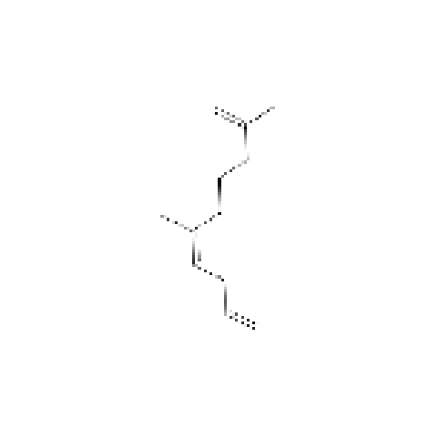 C=CCC=C(C)CCCC(=C)C